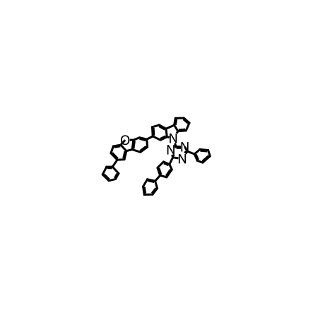 c1ccc(-c2ccc(-c3nc(-c4ccccc4)nc(-n4c5ccccc5c5ccc(-c6ccc7c(c6)oc6ccc(-c8ccccc8)cc67)cc54)n3)cc2)cc1